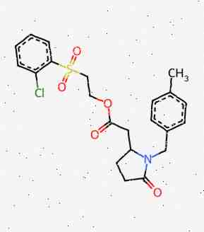 Cc1ccc(CN2C(=O)CCC2CC(=O)OCCS(=O)(=O)c2ccccc2Cl)cc1